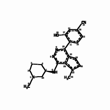 CN1CCC[C@@H](Nc2nnc(-c3ccc(C#N)cc3O)c3ccn(C)c23)C1